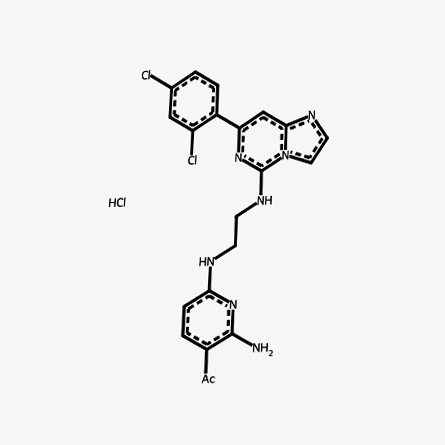 CC(=O)c1ccc(NCCNc2nc(-c3ccc(Cl)cc3Cl)cc3nccn23)nc1N.Cl